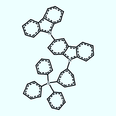 c1ccc(S(c2ccccc2)(c2ccccc2)c2cccc(-n3c4ccccc4c4cc(-n5c6ccccc6c6ccccc65)ccc43)c2)cc1